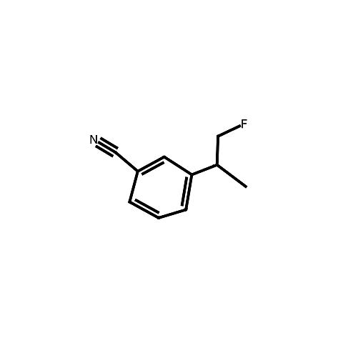 C[C](CF)c1cccc(C#N)c1